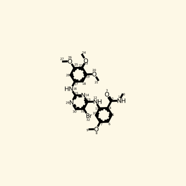 CNC(=O)c1ccc(OC)cc1Nc1nc(Nc2cc(OC)c(OC)c(OC)c2)ncc1Br